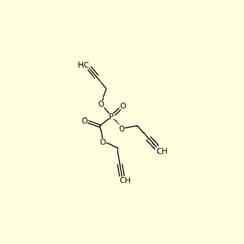 C#CCOC(=O)P(=O)(OCC#C)OCC#C